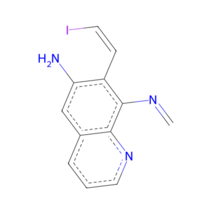 C=Nc1c(/C=C\I)c(N)cc2cccnc12